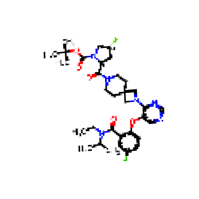 CCN(C(=O)c1cc(F)ccc1Oc1cncnc1N1CC2(CCN(C(=O)[C@@H]3C[C@@H](F)CN3C(=O)OC(C)(C)C)CC2)C1)C(C)C